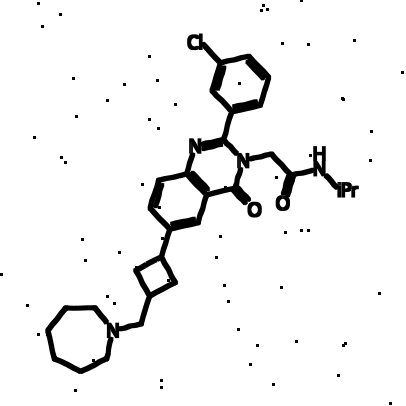 CC(C)NC(=O)Cn1c(-c2cccc(Cl)c2)nc2ccc(C3CC(CN4CCCCCC4)C3)cc2c1=O